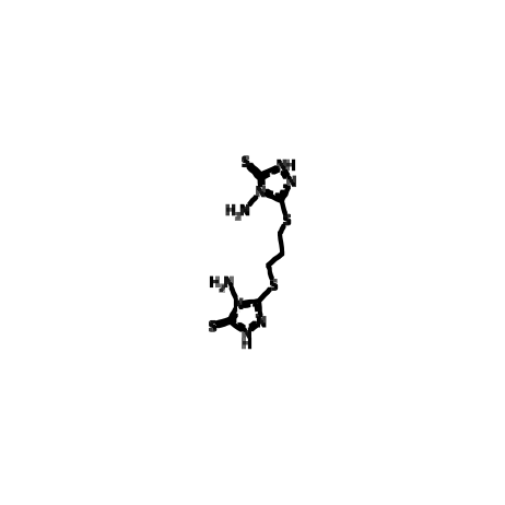 Nn1c(SCCCSc2n[nH]c(=S)n2N)n[nH]c1=S